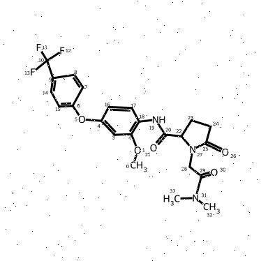 COc1cc(Oc2ccc(C(F)(F)F)cc2)ccc1NC(=O)C1CCC(=O)N1CC(=O)N(C)C